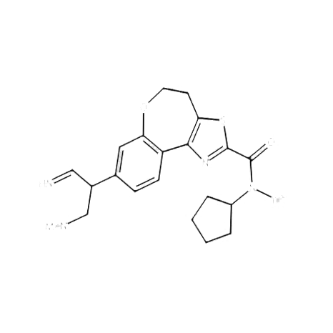 CCCN(C(=O)c1nc2c(s1)CCOc1cc(C(C=N)CNC)ccc1-2)C1CCCC1